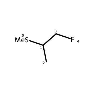 CSC(C)CF